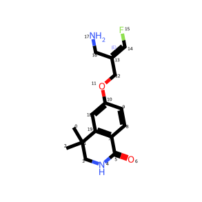 CC1(C)CNC(=O)c2ccc(OC/C(=C/F)CN)cc21